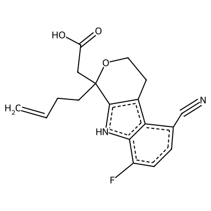 C=CCCC1(CC(=O)O)OCCc2c1[nH]c1c(F)ccc(C#N)c21